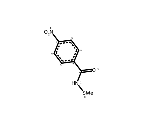 CSNC(=O)c1ccc([N+](=O)[O-])cc1